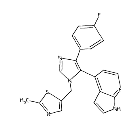 Cc1ncc(Cn2cnc(-c3ccc(F)cc3)c2-c2ccnc3[nH]ccc23)s1